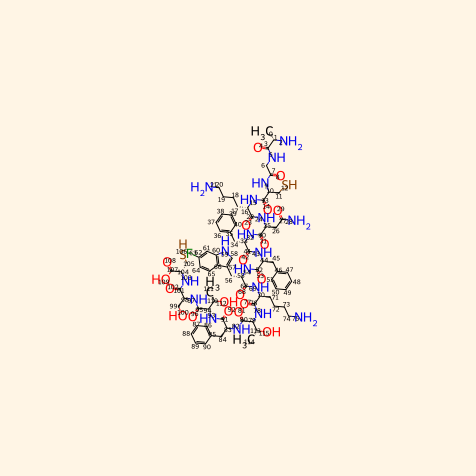 C[C@H](N)C(=O)NCC(=O)N[C@@H](CS)C(=O)N[C@@H](CCCCN)C(=O)N[C@@H](CC(N)=O)C(=O)N[C@@H](Cc1ccccc1)C(=O)N[C@@H](Cc1ccccc1)C(=O)N[C@@H](Cc1c[nH]c2cc(F)ccc12)C(=O)N[C@@H](CCCCN)C(=O)N[C@H](C(=O)N[C@@H](Cc1ccccc1)C(=O)N[C@H](C(=O)N[C@@H](CO)C(=O)N[C@@H](CS)C(=O)O)[C@@H](C)O)[C@@H](C)O